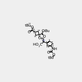 CC(C)COC(=O)C1(O/N=C(\C(=O)O)c2csc(NC(=O)OC(C)(C)C)n2)CN(C(=O)OC(C)(C)C)C1